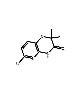 CCc1ccc2c(n1)NC(=O)C(C)(C)O2